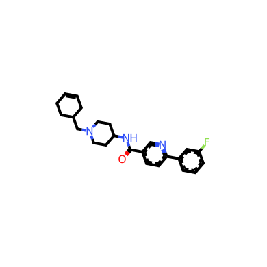 O=C(NC1CCN(CC2CC=CCC2)CC1)c1ccc(-c2cccc(F)c2)nc1